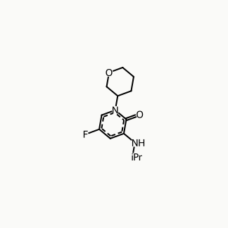 CC(C)Nc1cc(F)cn(C2CCCOC2)c1=O